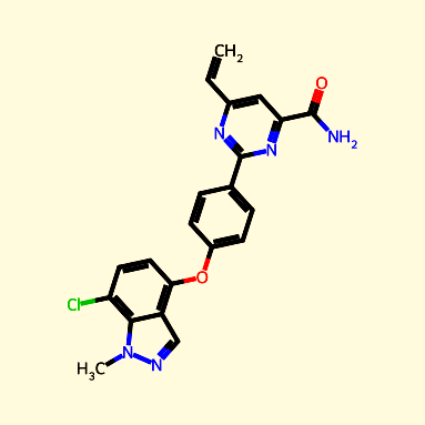 C=Cc1cc(C(N)=O)nc(-c2ccc(Oc3ccc(Cl)c4c3cnn4C)cc2)n1